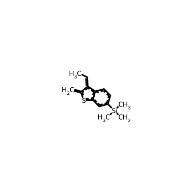 C=c1sc2cc([Si](C)(C)C)ccc2/c1=C/C